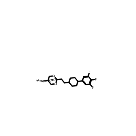 CCCCCC12COC(CCC3CCC(c4cc(F)c(F)c(F)c4)CC3)(OC1)OC2